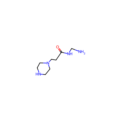 NCNC(=O)CCN1CCNCC1